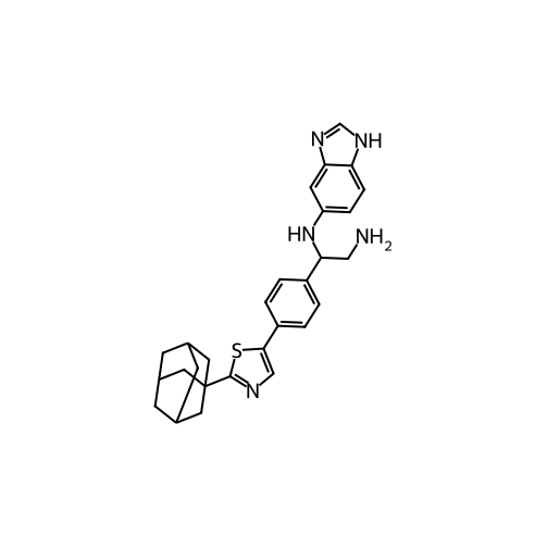 NCC(Nc1ccc2[nH]cnc2c1)c1ccc(-c2cnc(C34CC5CC(CC(C5)C3)C4)s2)cc1